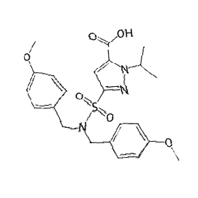 COc1ccc(CN(Cc2ccc(OC)cc2)S(=O)(=O)c2cc(C(=O)O)n(C(C)C)n2)cc1